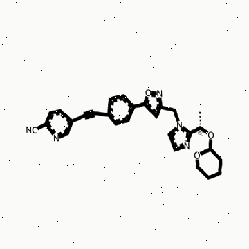 C[C@H](OC1CCCCO1)c1nccn1Cc1cc(-c2ccc(C#Cc3ccc(C#N)nc3)cc2)on1